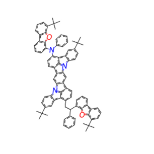 CC(C)(C)c1ccc2c(c1)c1c(CC(c3ccccc3)c3cccc4c3oc3c(C(C)(C)C)cccc34)ccc3c4cc5c(cc4n2c31)c1ccc(N(c2ccccc2)c2cccc3c2oc2c(C(C)(C)C)cccc23)c2c3cc(C(C)(C)C)ccc3n5c12